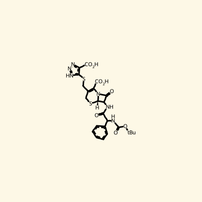 CC(C)(C)OC(=O)NC(C(=O)NC1C(=O)N2C(C(=O)O)=C(CSc3[nH]nnc3C(=O)O)CS[C@@H]12)c1ccccc1